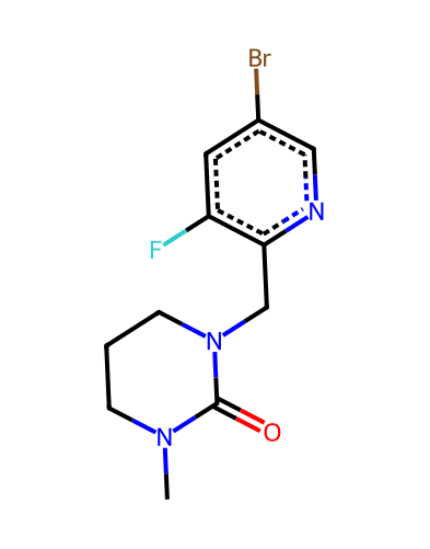 CN1CCCN(Cc2ncc(Br)cc2F)C1=O